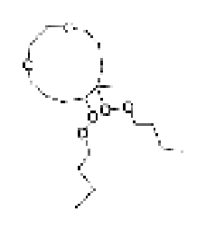 CCCCOOC1CCCCCCCCCCC1(C)OOCCCC